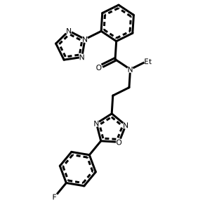 CCN(CCc1noc(-c2ccc(F)cc2)n1)C(=O)c1ccccc1-n1nccn1